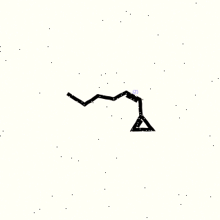 CCCC/C=[C]\C1=CC1